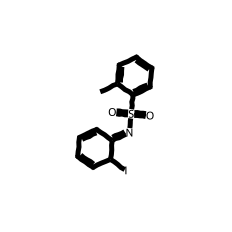 Cc1ccccc1S(=O)(=O)N=C1C=CC=CC1I